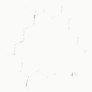 CC(C)CCCCC(C)CCC(C)CCCCC(C)CCC(C)CCCCC(C)C